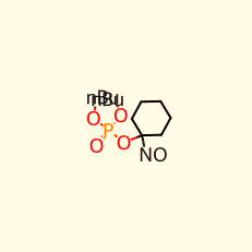 CCCCOP(=O)(OCCCC)OC1(N=O)CCCCC1